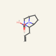 C=CCC1NCC2CCC1N2C(=O)O